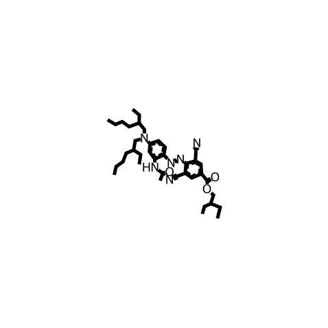 CCCCC(CC)CN(CC(CC)CCCC)c1ccc(N=Nc2c(C#N)cc(C(=O)OCC(CC)CC)cc2C#N)c(NC(C)=O)c1